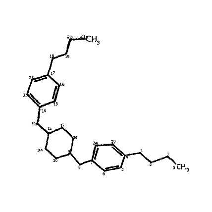 CCCCc1ccc(CC2CCC(Cc3ccc(CCCC)cc3)CC2)cc1